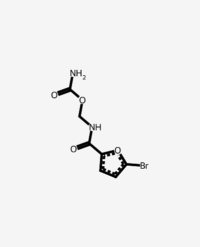 NC(=O)OCNC(=O)c1ccc(Br)o1